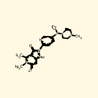 Cc1c2c(=O)n(-c3ccc([S+]([O-])N4CCN(C)CC4)cn3)[nH]c2cc(=O)n1C